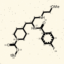 COCCNCC(CC1CCN(C(=O)OC(C)(C)C)CC1)NC(=O)c1ccc(F)cc1